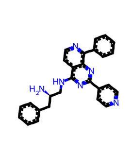 N[C@@H](CNc1nc(-c2ccncc2)nc2c(-c3ccccc3)nccc12)Cc1ccccc1